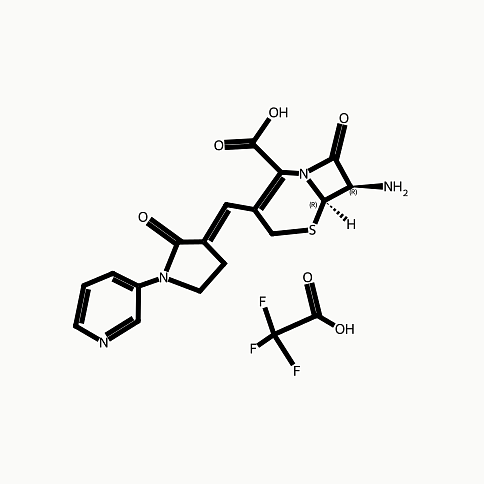 N[C@@H]1C(=O)N2C(C(=O)O)=C(C=C3CCN(c4cccnc4)C3=O)CS[C@H]12.O=C(O)C(F)(F)F